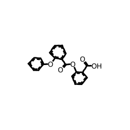 O=C(O)c1ccccc1OC(=O)c1ccccc1Oc1ccccc1